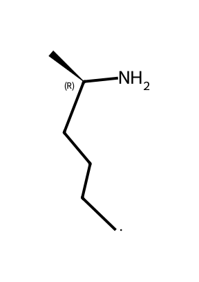 [CH2]CCC[C@@H](C)N